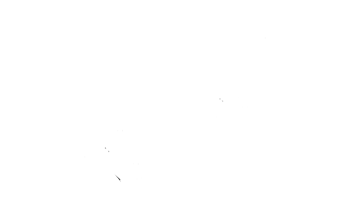 Cc1oc(-c2ccc(C(F)(F)F)cc2)nc1COc1ccc(S(=O)(=O)N2c3ccccc3C[C@@H]2C(=O)O)cc1